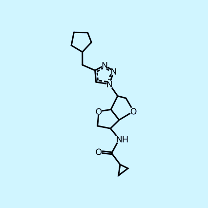 O=C(NC1COC2C1OCC2n1cc(CC2CCCC2)nn1)C1CC1